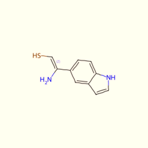 N/C(=C\S)c1ccc2[nH]ccc2c1